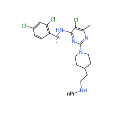 CCCNCCC1CCN(c2nc(C)c(Cl)c(N[C@H](C)c3ccc(Cl)cc3Cl)n2)CC1